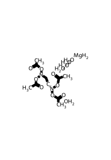 CC(=O)ON(CCN(OC(C)=O)OC(C)=O)OC(C)=O.O.O.O.O.O.[MgH2]